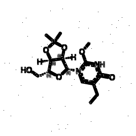 CCc1c[n+]([C@@H]2O[C@H](CO)[C@H]3OC(C)(C)O[C@H]32)c(OC)[nH]c1=O